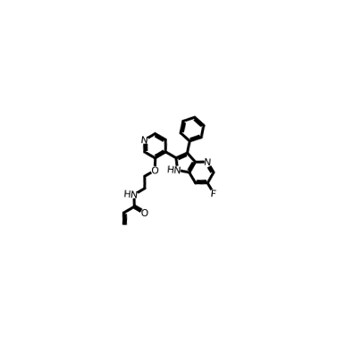 C=CC(=O)NCCOc1cnccc1-c1[nH]c2cc(F)cnc2c1-c1ccccc1